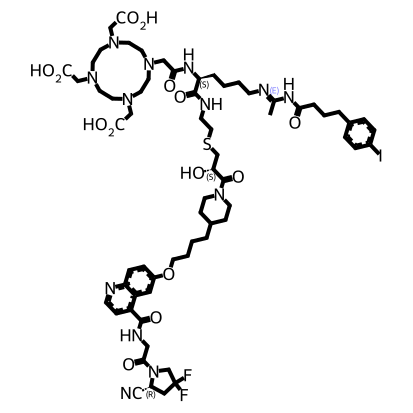 C/C(=N\CCCC[C@H](NC(=O)CN1CCN(CC(=O)O)CCN(CC(=O)O)CCN(CC(=O)O)CC1)C(=O)NCCSC[C@@H](O)C(=O)N1CCC(CCCCOc2ccc3nccc(C(=O)NCC(=O)N4CC(F)(F)C[C@@H]4C#N)c3c2)CC1)NC(=O)CCCc1ccc(I)cc1